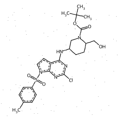 Cc1ccc(S(=O)(=O)n2ccc3c(NC4CCC(CO)N(C(=O)OC(C)(C)C)C4)nc(Cl)nc32)cc1